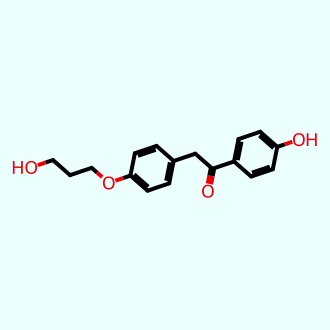 O=C(Cc1ccc(OCCCO)cc1)c1ccc(O)cc1